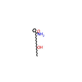 CCCCCCC(O)CCCCCCCCCC(C(N)=O)C1CCCCC1